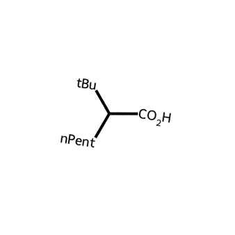 CCCCCC(C(=O)O)C(C)(C)C